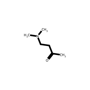 CC(=O)CCN(C)C